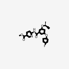 C#C[C@H](C)Oc1cc(Oc2ccc(F)cc2)cc(C(=O)Nc2ccc(C(=O)OC)cn2)c1